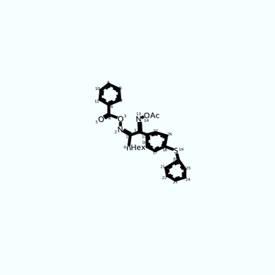 CCCCCCC(=NOC(=O)c1ccccc1)C(=NOC(C)=O)c1ccc(Sc2ccccc2)cc1